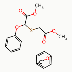 COC(=O)CSC(Oc1ccccc1)C(=O)OC.c1cc2ccc1CO2